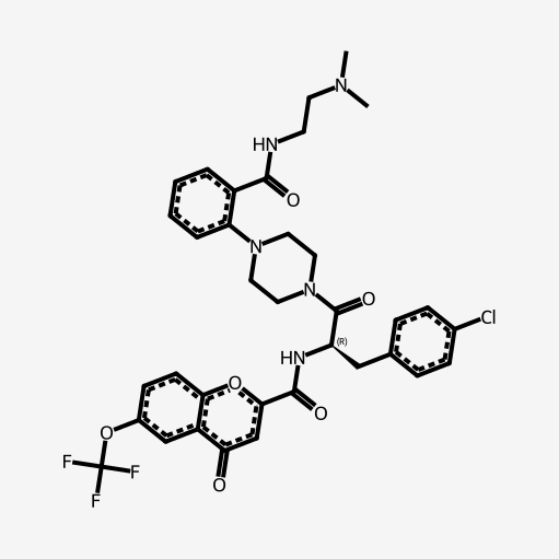 CN(C)CCNC(=O)c1ccccc1N1CCN(C(=O)[C@@H](Cc2ccc(Cl)cc2)NC(=O)c2cc(=O)c3cc(OC(F)(F)F)ccc3o2)CC1